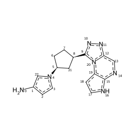 Nc1ccn([C@H]2CC[C@@H](c3nnc4cnc5[nH]ccc5n34)C2)c1